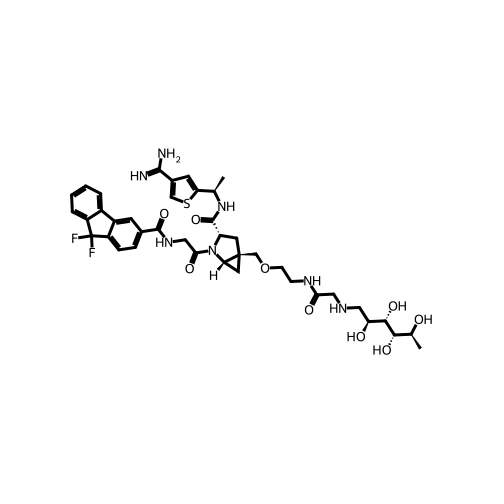 C[C@H](O)[C@H](O)[C@@H](O)[C@@H](O)CNCC(=O)NCCOC[C@@]12C[C@@H]1N(C(=O)CNC(=O)c1ccc3c(c1)-c1ccccc1C3(F)F)[C@H](C(=O)N[C@H](C)c1cc(C(=N)N)cs1)C2